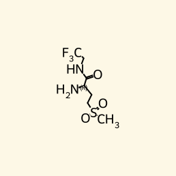 CS(=O)(=O)CC[C@@H](N)C(=O)NCC(F)(F)F